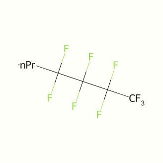 CC[CH]C(F)(F)C(F)(F)C(F)(F)C(F)(F)F